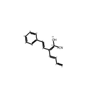 C=CC=CC(C=Cc1ccccc1)=C(O)C#N